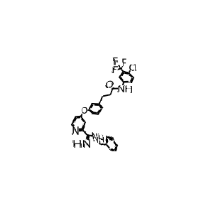 N=C(NCc1ccccc1)c1cc(Oc2cccc(CCC(=O)Nc3ccc(Cl)c(C(F)(F)F)c3)c2)ccn1